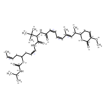 C/C=C\CC(C/C=C\NC(=O)C(NC(=O)\C=C/C=C\C(C)=C\C(C)C1CC=C(OC)C(=O)O1)C(C)(C)C)OC(=O)NC(C)C